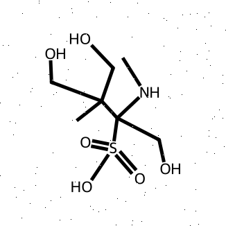 CNC(CO)(C(C)(CO)CO)S(=O)(=O)O